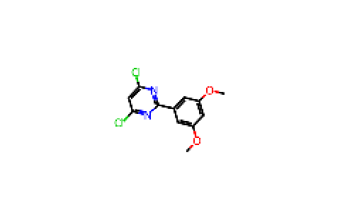 COc1cc(OC)cc(-c2nc(Cl)cc(Cl)n2)c1